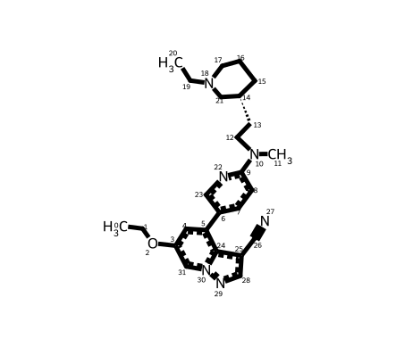 CCOc1cc(-c2ccc(N(C)CC[C@H]3CCCN(CC)C3)nc2)c2c(C#N)cnn2c1